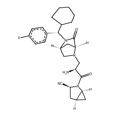 N#C[C@@H]1C[C@@H]2C[C@@H]2N1C(=O)[C@@H](N)CN1C[C@@H]2C[C@H]1C(=O)N2[C@H](c1ccc(F)cc1)C1CCCCC1